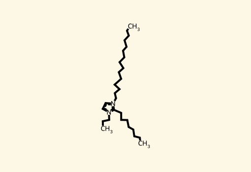 CCCCCCCCCCCCCCCn1cc[n+](CCC)c1CCCCCCCC